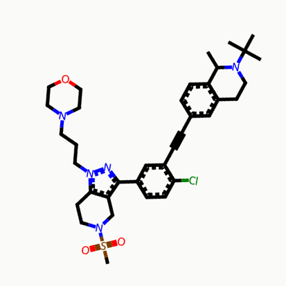 CC1c2ccc(C#Cc3cc(-c4nn(CCCN5CCOCC5)c5c4CN(S(C)(=O)=O)CC5)ccc3Cl)cc2CCN1C(C)(C)C